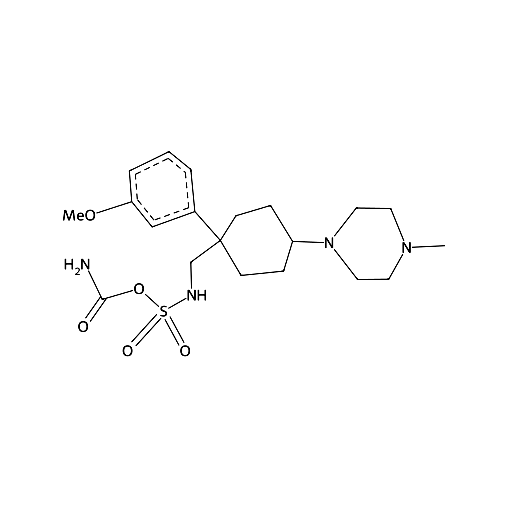 COc1cccc(C2(CNS(=O)(=O)OC(N)=O)CCC(N3CCN(C)CC3)CC2)c1